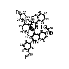 CS(=O)(=O)c1ccc2nc(-c3cccc(CF)c3)c(CN3CCC(N4CC[C@H](F)C4)CC3)c(C(=O)N[C@H](c3ccccc3)C(F)(F)F)c2c1